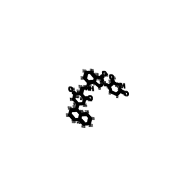 O=C1CCC(N2Cc3c(NC=C4C(=O)CC(c5cccc6ccccc56)CC4=O)cccc3C2=O)C(=O)N1